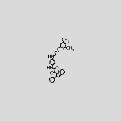 Cc1cc(C)nc(CNCCNc2ccc(NC(=O)C(=O)c3c(-c4ccccc4)cc4ccccn34)cc2)c1